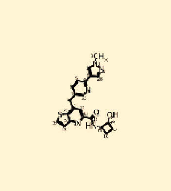 Cn1cc(-c2ccc(Cc3cc(C(=O)N[C@H]4CC[C@@H]4O)nc4ccsc34)cn2)cn1